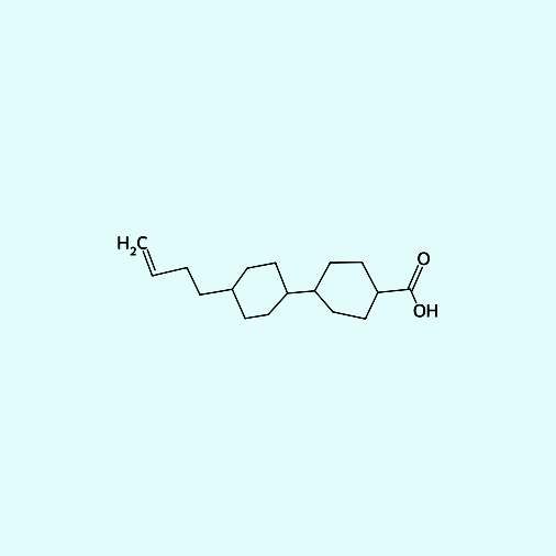 C=CCCC1CCC(C2CCC(C(=O)O)CC2)CC1